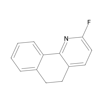 Fc1ccc2c(n1)-c1ccccc1CC2